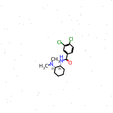 CN(C)[C@H]1CCCC[C@H]1NC(=O)c1ccc(Cl)c(Cl)c1